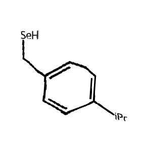 CC(C)c1ccc(C[SeH])cc1